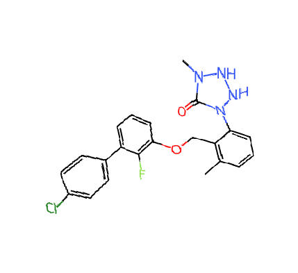 Cc1cccc(N2NNN(C)C2=O)c1COc1cccc(-c2ccc(Cl)cc2)c1F